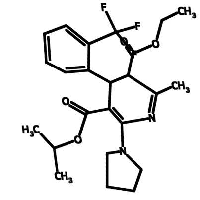 CCOC(=O)C1C(C)=NC(N2CCCC2)=C(C(=O)OC(C)C)C1c1ccccc1C(F)(F)F